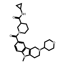 Cn1c2c(c3cc(C(=O)N4CCCC(C(=O)NC5CC5)C4)ccc31)CN(C1CCOCC1)CC2